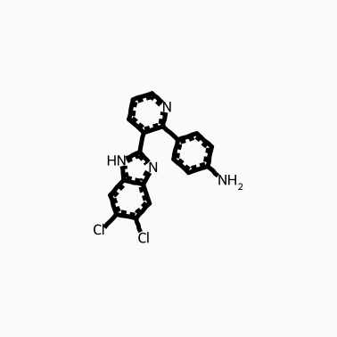 Nc1ccc(-c2ncccc2-c2nc3cc(Cl)c(Cl)cc3[nH]2)cc1